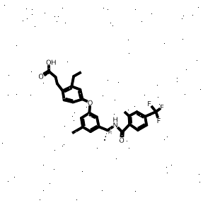 CCc1cc(Oc2cc(C)cc([C@@H](C)NC(=O)c3ccc(C(F)(F)F)cc3C)c2)ccc1CCC(=O)O